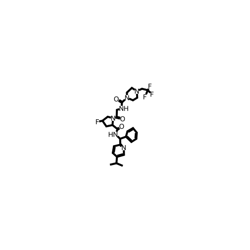 CC(C)c1ccc(C(NC(=O)C2CC(F)CN2C(=O)CNC(=O)N2CCN(CC(F)(F)F)CC2)c2ccccc2)nc1